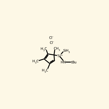 CC1=C[C](C)([Ti+2]([SiH3])[NH]C(C)(C)C)C(C)=C1C.[Cl-].[Cl-]